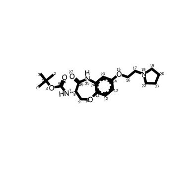 CC(C)(C)OC(=O)N[C@H]1COc2ccc(OCCN3CCCC3)cc2NC1=O